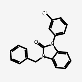 O=c1n(Cc2ccccc2)c2ccccc2n1-c1cccc(Cl)c1